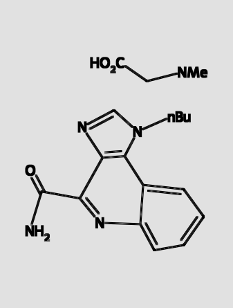 CCCCn1cnc2c(C(N)=O)nc3ccccc3c21.CNCC(=O)O